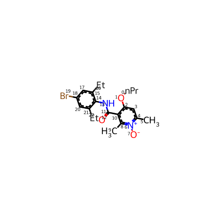 CCCOc1cc(C)[n+]([O-])c(C)c1C(=O)Nc1c(CC)cc(Br)cc1CC